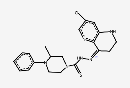 CC1CN(C(=S)N/N=C2/CCNc3cc(Cl)cnc32)CCN1c1ccccc1